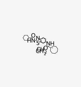 O=C(Nc1ccc2nc(NC(=O)C3CCCCC3)sc2c1)[C]1CCCCCCC1.[CH2].[CH2]